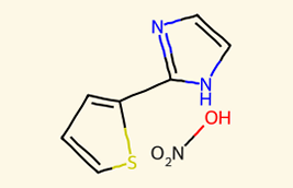 O=[N+]([O-])O.c1csc(-c2ncc[nH]2)c1